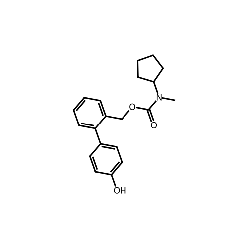 CN(C(=O)OCc1ccccc1-c1ccc(O)cc1)C1CCCC1